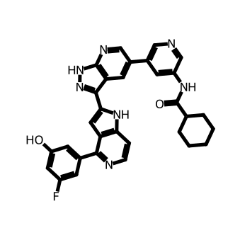 O=C(Nc1cncc(-c2cnc3[nH]nc(-c4cc5c(-c6cc(O)cc(F)c6)nccc5[nH]4)c3c2)c1)C1CCCCC1